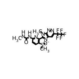 CNC(=O)Nc1ccc([S+](C)[O-])c(-c2nc3cc(C(F)(F)C(F)(F)F)nnc3n2C)n1